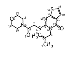 C=C(C)Cn1c(SCC(=O)N2CCOCC2)nc2sccc2c1=O